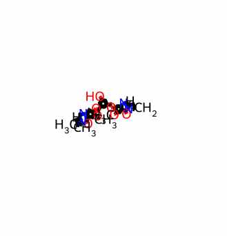 C=C1C[C@H]2C=Nc3cc(OCc4cc(O)cc(COc5cc6c(cc5OC)C(=O)N5CC(C)(C)C[C@H]5C=N6)c4)c(OC)cc3C(=O)N2C1